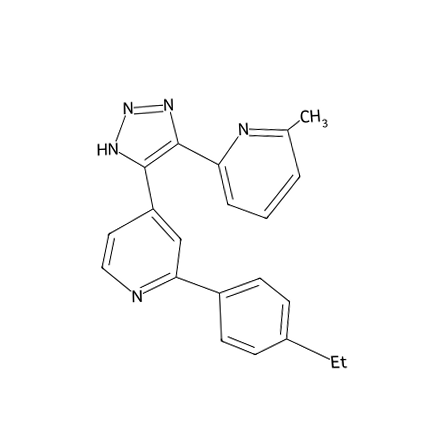 CCc1ccc(-c2cc(-c3[nH]nnc3-c3cccc(C)n3)ccn2)cc1